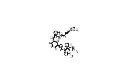 CC(C)=C(C)COc1cccc(CN(C)CC=CC#CC(C)(C)C)c1